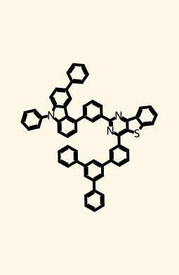 c1ccc(-c2cc(-c3ccccc3)cc(-c3cccc(-c4nc(-c5cccc(-c6cccc7c6c6cc(-c8ccccc8)ccc6n7-c6ccccc6)c5)nc5c4sc4ccccc45)c3)c2)cc1